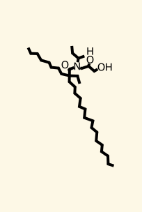 CCCCCCCCCCCCCCCCC(CC)(CCCCCCCC)C(=O)N(CC(O)CO)C(C)CC